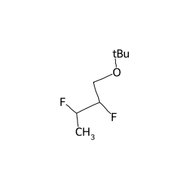 CC(F)C(F)COC(C)(C)C